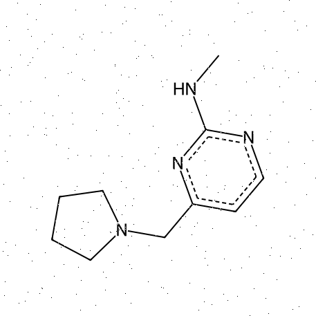 CNc1nccc(CN2CCCC2)n1